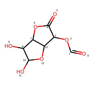 O=COC1C(=O)OC2C(O)C(O)OC12